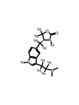 [2H]N1C(=O)OC([2H])([2H])[C@@H]1C([2H])([2H])c1ccc2c(c1)c(C([2H])([2H])C([2H])([2H])N(C)C)cn2[2H]